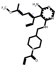 C=CC(=O)N1CCC(CNc2ncnc(N)c2/C(C=C)=C/C=C(\C)OC(F)(F)F)CC1